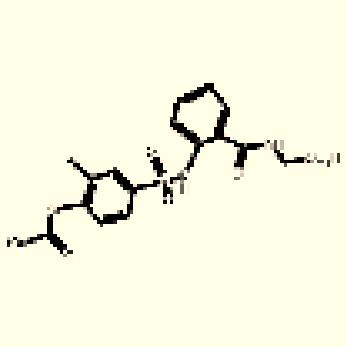 Cc1cc(S(=O)(=O)Nc2ccccc2C(=O)NCC(=O)O)ccc1OC(=O)C(C)(C)C